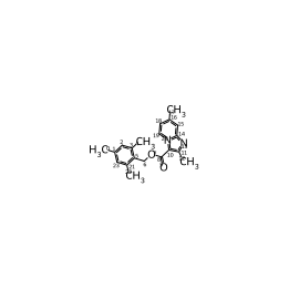 Cc1cc(C)c(COC(=O)c2c(C)nc3cc(C)ccn23)c(C)c1